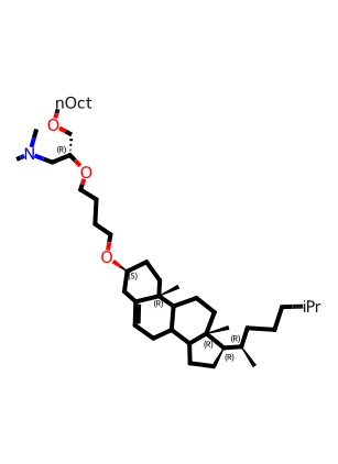 CCCCCCCCOC[C@@H](CN(C)C)OCCCCO[C@H]1CC[C@@]2(C)C(=CCC3C2CC[C@@]2(C)C3CC[C@@H]2[C@H](C)CCCC(C)C)C1